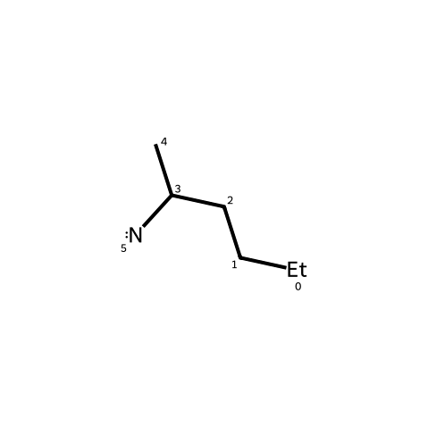 CCCCC(C)[N]